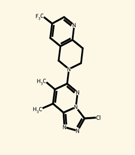 Cc1c(N2CCc3ncc(C(F)(F)F)cc3C2)nn2c(Cl)nnc2c1C